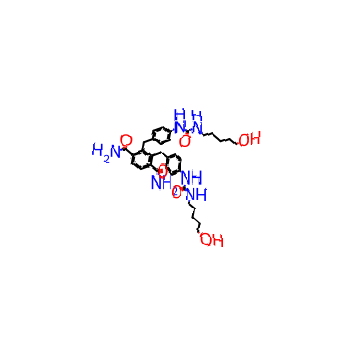 NC(=O)c1ccc(C(N)=O)c(Cc2ccc(NC(=O)NCCCCCO)cc2)c1Cc1ccc(NC(=O)NCCCCCO)cc1